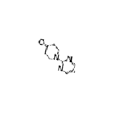 O=C1CCN(c2nc[c]cn2)CC1